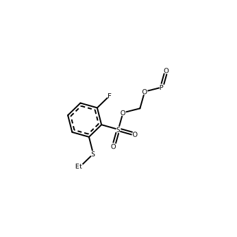 CCSc1cccc(F)c1S(=O)(=O)OCOP=O